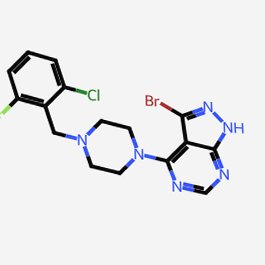 Fc1cccc(Cl)c1CN1CCN(c2ncnc3[nH]nc(Br)c23)CC1